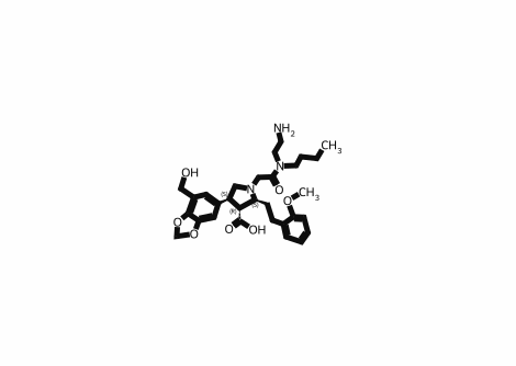 CCCCN(CCN)C(=O)CN1C[C@H](c2cc(CO)c3c(c2)OCO3)[C@@H](C(=O)O)[C@@H]1CCc1ccccc1OC